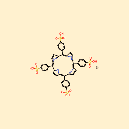 O=S(=O)(O)c1ccc(C2=C3C=CC(=N3)C(c3ccc(S(=O)(=O)O)cc3)=C3C=CC(=N3)C(c3ccc(S(=O)(=O)O)cc3)=C3C=CC(=N3)C(c3ccc(S(=O)(=O)O)cc3)=C3C=CC2=N3)cc1.[Zn]